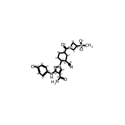 CS(=O)(=O)C1CN(C(=O)C2CCC(n3cc(C(N)=O)c(Nc4ccc(Cl)cc4)n3)C(C#N)C2)C1